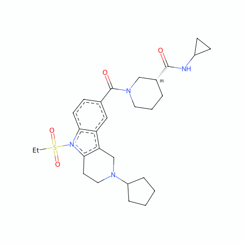 CCS(=O)(=O)n1c2c(c3cc(C(=O)N4CCC[C@@H](C(=O)NC5CC5)C4)ccc31)CN(C1CCCC1)CC2